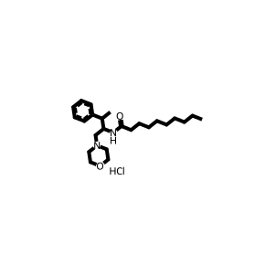 CCCCCCCCCC(=O)NC(CN1CCOCC1)C(C)c1ccccc1.Cl